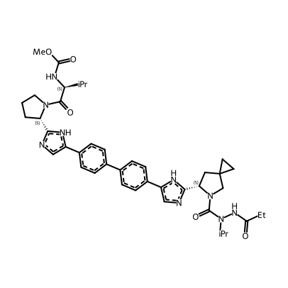 CCC(=O)NN(C(=O)N1CC2(CC2)C[C@H]1c1ncc(-c2ccc(-c3ccc(-c4cnc([C@@H]5CCCN5C(=O)[C@@H](NC(=O)OC)C(C)C)[nH]4)cc3)cc2)[nH]1)C(C)C